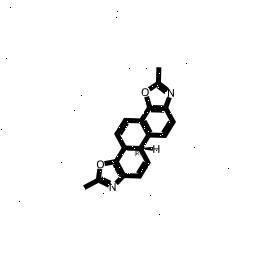 Cc1nc2c(o1)C1C=Cc3c(ccc4nc(C)oc34)[C@@H]1C=C2